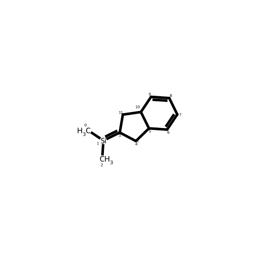 C[Si](C)=C1[C]C2C=CC=CC2C1